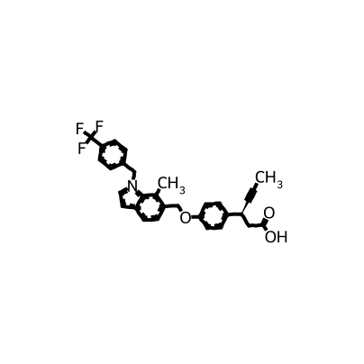 CC#C[C@@H](CC(=O)O)c1ccc(OCc2ccc3ccn(Cc4ccc(C(F)(F)F)cc4)c3c2C)cc1